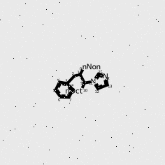 CCCCCCCCCC(Cc1ccccc1)C(CCCCCCCC)n1ccnc1